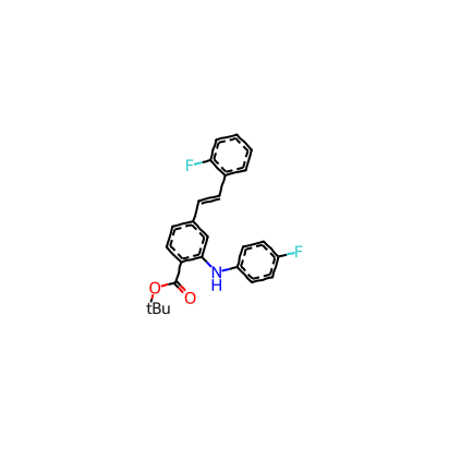 CC(C)(C)OC(=O)c1ccc(/C=C/c2ccccc2F)cc1Nc1ccc(F)cc1